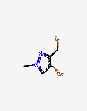 Cn1cc(Br)c(CBr)n1